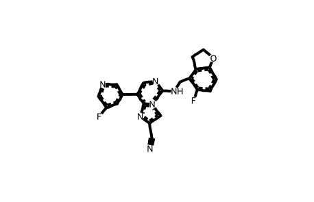 N#Cc1cn2c(NCc3c(F)ccc4c3CCO4)ncc(-c3cncc(F)c3)c2n1